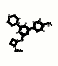 CC(=O)N[C@@H]1CC[C@H]1Oc1cc(-c2cnc(N)nc2)nc(N2CCOCC2)n1